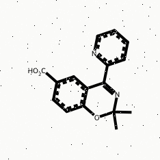 CC1(C)N=C(c2ccccn2)c2cc(C(=O)O)ccc2O1